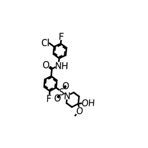 COC1(O)CCN(S(=O)(=O)c2cc(C(=O)Nc3ccc(F)c(Cl)c3)ccc2F)CC1